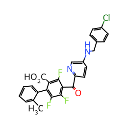 Cc1ccccc1-c1c(F)c(F)c(C(=O)c2ccc(NCc3ccc(Cl)cc3)cn2)c(F)c1C(=O)O